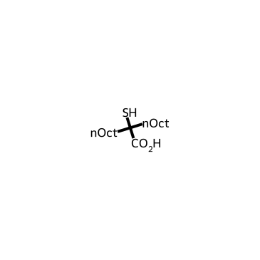 CCCCCCCCC(S)(CCCCCCCC)C(=O)O